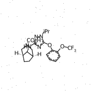 CC(C)n1nc(NC2[C@@H]3CC[C@H]2CN(C(=O)O)C3)nc1Oc1ccccc1OC(F)(F)F